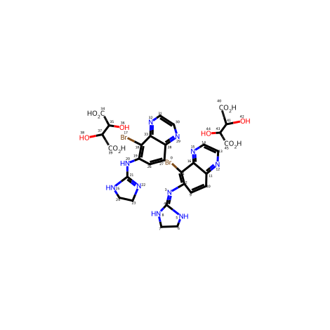 Brc1c(N=C2NCCN2)ccc2nccnc12.Brc1c(NC2=NCCN2)ccc2nccnc12.O=C(O)C(O)C(O)C(=O)O.O=C(O)C(O)C(O)C(=O)O